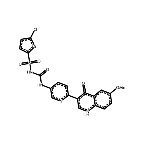 COc1ccc2[nH]cc(-c3ccc(NC(=O)NS(=O)(=O)c4ccc(Cl)s4)cn3)c(=O)c2c1